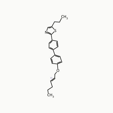 CCC/C=C/COc1ccc(-c2ccc(-c3ncc(CCC)s3)cc2)cc1